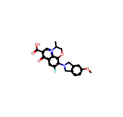 COc1ccc2c(c1)CN(c1c(F)cc3c(=O)c(C(=O)O)cn4c3c1OCC4C)C2